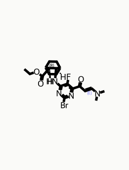 CCOC(=O)[C@@H]1C2CCC(CC2)[C@H]1Nc1nc(Br)nc(C(=O)/C=C/N(C)C)c1F